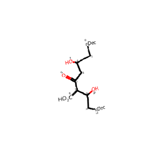 CCCCCCCCCCCC(O)CC(=O)C(C(=O)O)C(O)CCCCCCCCCCC